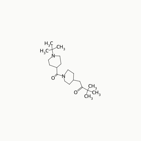 CC(C)(C)C(=O)CC1CCN(C(=O)C2CCN(C(C)(C)C)CC2)CC1